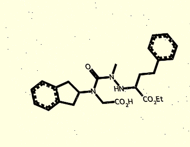 CCOC(=O)C(CCc1ccccc1)NN(C)C(=O)N(CC(=O)O)C1Cc2ccccc2C1